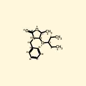 CCC(CC)OC1C(C)OC(=O)N1Cc1ccccc1